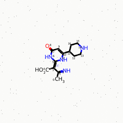 CC(=N)/C(C(=O)O)=C1/NC(=O)C=C(C2CCNCC2)N1